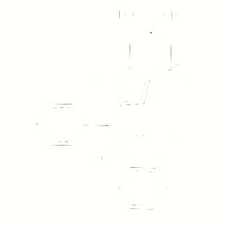 CC1(C)CC(=O)c2cc(C(c3ccccc3)S(=O)(=O)c3ccccc3Cl)oc2C1